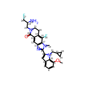 COc1cccc2cc(-c3nc4cc5c(c(F)c4n3C)CCN(C[C@H](N)CF)C5=O)n(CC3CC3)c12